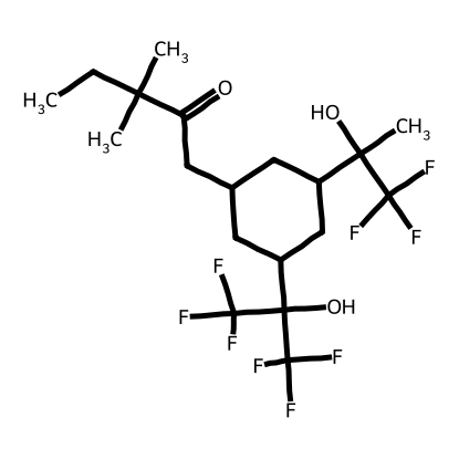 CCC(C)(C)C(=O)CC1CC(C(C)(O)C(F)(F)F)CC(C(O)(C(F)(F)F)C(F)(F)F)C1